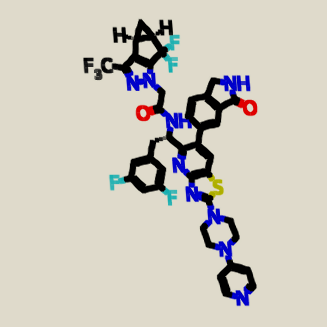 O=C(Cn1nc(C(F)(F)F)c2c1C(F)(F)[C@@H]1C[C@H]21)N[C@@H](Cc1cc(F)cc(F)c1)c1nc2nc(N3CCN(c4ccncc4)CC3)sc2cc1-c1ccc2c(c1)C(=O)NC2